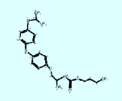 CCCCOC(=O)NC(C)COc1ccc(Oc2ccc(OC(C)C)cn2)cc1